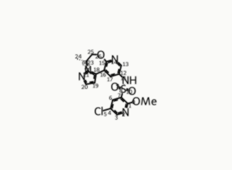 COc1ncc(Cl)cc1S(=O)(=O)Nc1cnc2c(c1)-c1ccnn1[C@H](C)CO2